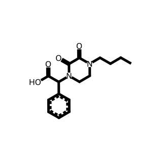 CCCCN1CCN(C(C(=O)O)c2ccccc2)C(=O)C1=O